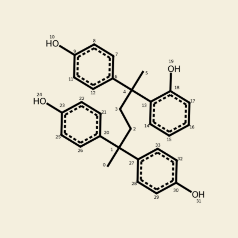 CC(CCC(C)(c1ccc(O)cc1)c1ccccc1O)(c1ccc(O)cc1)c1ccc(O)cc1